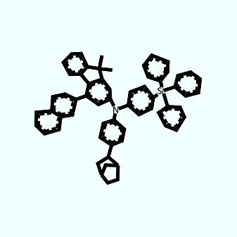 CC1(C)c2ccccc2-c2c(-c3ccc4ccccc4c3)cc(N(c3ccc(C4CC5CCC4C5)cc3)c3ccc([Si](c4ccccc4)(c4ccccc4)c4ccccc4)cc3)cc21